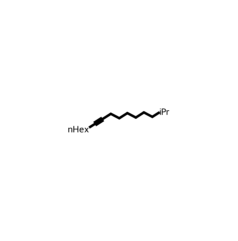 CCCCCCC#CCCCCCCC(C)C